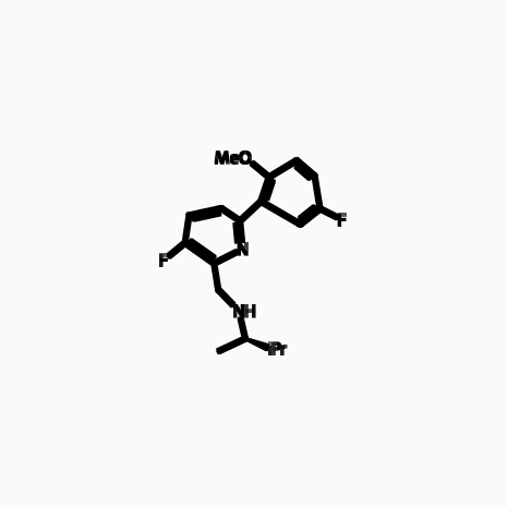 COc1ccc(F)cc1-c1ccc(F)c(CN[C@H](C)C(C)C)n1